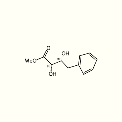 COC(=O)[C@@H](O)[C@H](O)Cc1ccccc1